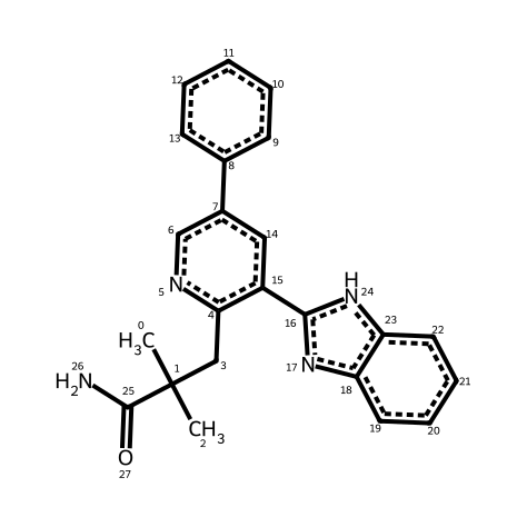 CC(C)(Cc1ncc(-c2ccccc2)cc1-c1nc2ccccc2[nH]1)C(N)=O